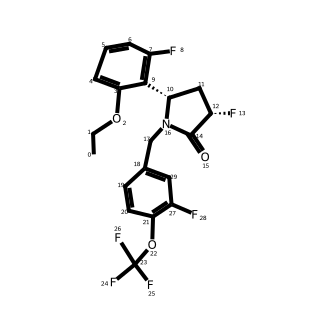 CCOc1cccc(F)c1[C@@H]1C[C@H](F)C(=O)N1Cc1ccc(OC(F)(F)F)c(F)c1